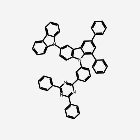 c1ccc(-c2cc(-c3ccccc3)c3c(c2)c2cc(-n4c5ccccc5c5ccccc54)ccc2n3-c2cccc(-c3nc(-c4ccccc4)nc(-c4ccccc4)n3)c2)cc1